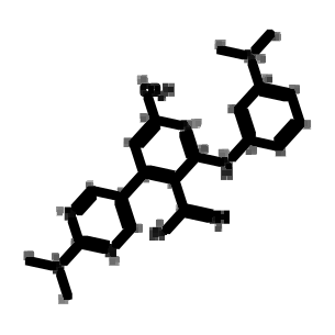 CC(C)C(=N)c1c(-c2cnc(N(C)C)nc2)cc(C(=O)O)nc1Nc1cccc(N(C)C)c1